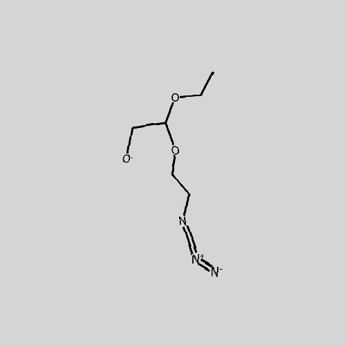 CCOC(C[O])OCCN=[N+]=[N-]